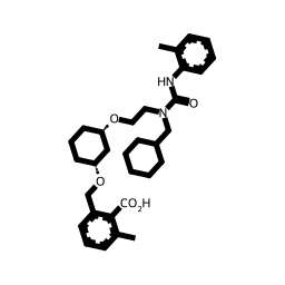 Cc1ccccc1NC(=O)N(CCO[C@H]1CCC[C@@H](OCc2cccc(C)c2C(=O)O)C1)CC1CCCCC1